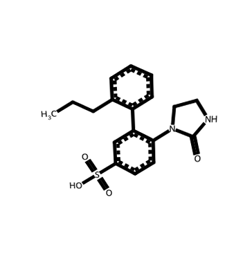 CCCc1ccccc1-c1cc(S(=O)(=O)O)ccc1N1CCNC1=O